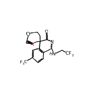 O=C1N=C(NCC(F)(F)F)c2ccc(C(F)(F)F)cc2C12CCOc1ccccc12